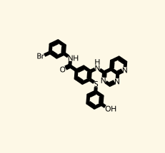 O=C(Nc1cccc(Br)c1)c1ccc(Sc2cccc(O)c2)c(Nc2ncnc3ncccc23)c1